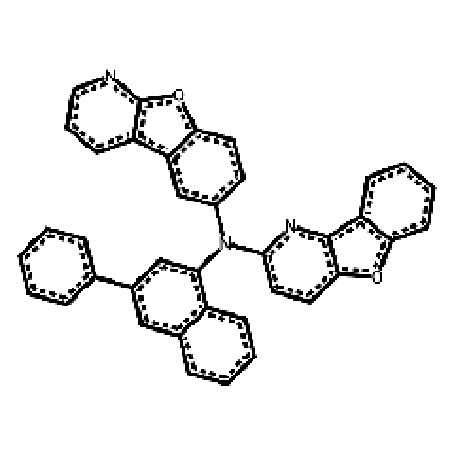 c1ccc(-c2cc(N(c3ccc4oc5ncccc5c4c3)c3ccc4oc5ccccc5c4n3)c3ccccc3c2)cc1